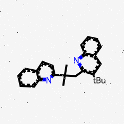 CC(C)(C)c1cc2ccccc2nc1CC(C)(C)c1ccc2ccccc2n1